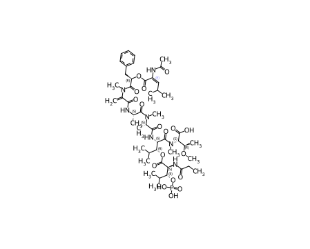 C=C(C(=O)N[C@@H](C)C(=O)N(C)[C@@H](C)C(=O)N[C@H](C(=O)N(C)[C@H](C(=O)O)[C@@H](C)OC)[C@H](OC(=O)[C@@H](NC(=O)CC)[C@H](OP(=O)(O)O)C(C)C)C(C)C)N(C)C(=O)[C@@H](Cc1ccccc1)OC(=O)/C(=C\C(C)C)NC(C)=O